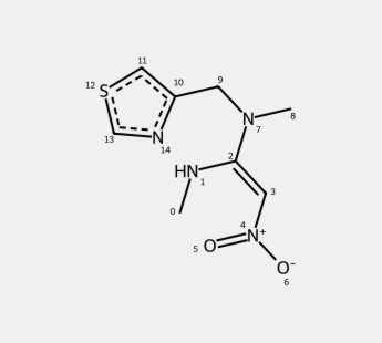 CNC(=C[N+](=O)[O-])N(C)Cc1cscn1